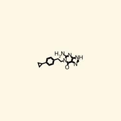 Nc1nc2[nH]cnc2c(=O)n1CCc1ccc(C2CC2)cc1